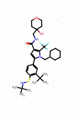 CC(C)(C)NSc1ccc(-c2cc(C(=O)NCC3(O)CCOCC3)c(C(F)(F)F)n2CC2CCCCC2)cc1C(C)(C)C